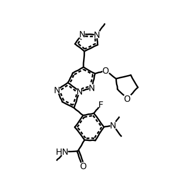 CNC(=O)c1cc(-c2cnc3cc(-c4cnn(C)c4)c(OC4CCOC4)nn23)c(F)c(N(C)C)c1